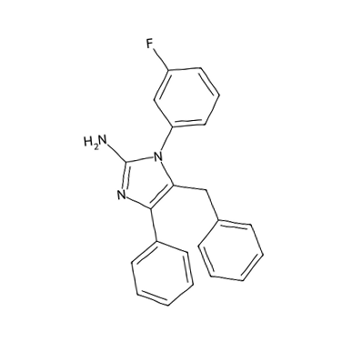 Nc1nc(-c2ccccc2)c(Cc2ccccc2)n1-c1cccc(F)c1